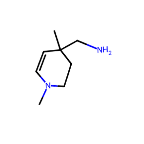 CN1C=CC(C)(CN)CC1